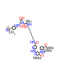 CNC(=O)c1cnc(Nc2ccc(C(=O)NCCCCCCCCCC(=O)N[C@H](C(=O)N3C[C@H](O)C[C@H]3C(=O)NCc3ccc(-c4scnc4C)cc3)C(C)(C)C)cn2)cc1Nc1cccc(C(=O)NC)c1OC